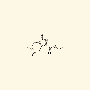 CCOC(=O)c1n[nH]c2c1C[C@@H](C)[C@H](C)C2